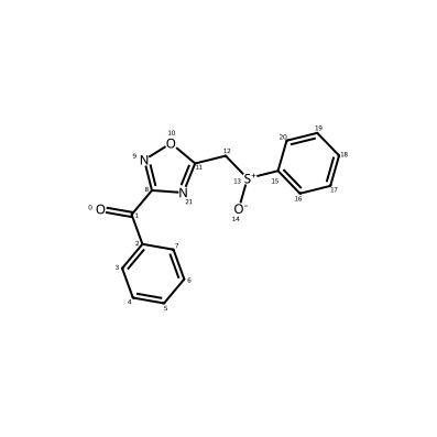 O=C(c1ccccc1)c1noc(C[S+]([O-])c2ccccc2)n1